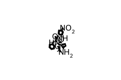 C[C@H](N)C(=O)N1CCC[C@H]1C(=O)N[C@@H](Cc1ccccc1)C(=O)Nc1ccc([N+](=O)[O-])cc1